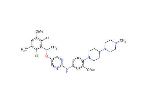 COc1cc(Nc2ncc(OC(C)c3c(Cl)c(C)cc(OC)c3Cl)cn2)ccc1N1CCC(N2CCN(C)CC2)CC1